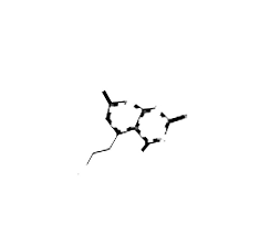 O=c1[nH]c(=O)c2c(CCC(F)(F)F)cc(=O)oc2[nH]1